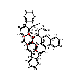 CC1(C)c2ccccc2-c2cccc(N(c3ccc4c(c3)oc3ccccc34)c3cccc(-c4ccccc4)c3-c3ccccc3-c3ccccc3)c21